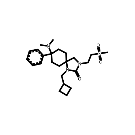 CN(C)C1(c2ccccc2)CCC2(CC1)CN(CCS(C)(=O)=O)C(=O)N2CC1CCC1